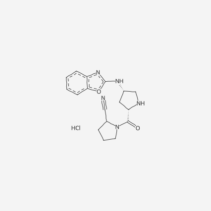 Cl.N#CC1CCCN1C(=O)[C@@H]1C[C@H](Nc2nc3ccccc3o2)CN1